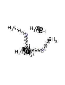 CCCCCCCC/C=C\CCCCCCCC(=O)NC(C)(NC(=O)CCCCCCC/C=C\CCCCCCCC)N(C)C(C)O.COS(=O)(=O)O